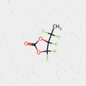 CC(F)(F)C1(F)OC(=O)OC1(F)F